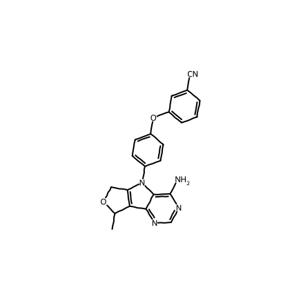 CC1OCc2c1c1ncnc(N)c1n2-c1ccc(Oc2cccc(C#N)c2)cc1